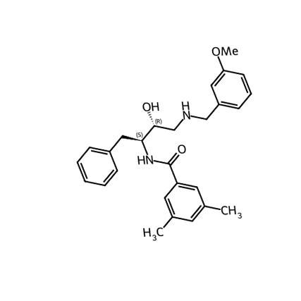 COc1cccc(CNC[C@@H](O)[C@H](Cc2ccccc2)NC(=O)c2cc(C)cc(C)c2)c1